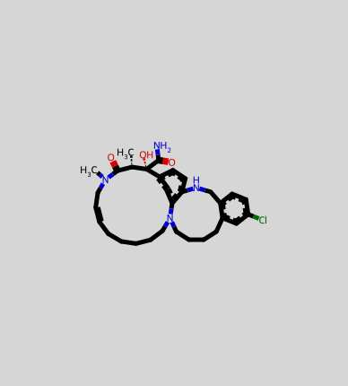 C[C@H]1C(=O)N(C)C/C=C\CCCCCN2CCCCc3cc(Cl)ccc3CNc3ccc(cc32)[C@]1(O)C(N)=O